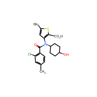 Cc1ccc(C(=O)N(c2cc(C(C)(C)C)sc2C(=O)O)C2CCC(O)CC2)c(Cl)c1